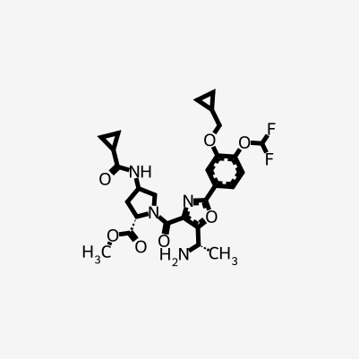 COC(=O)[C@@H]1CC(NC(=O)C2CC2)CN1C(=O)c1nc(-c2ccc(OC(F)F)c(OCC3CC3)c2)oc1[C@H](C)N